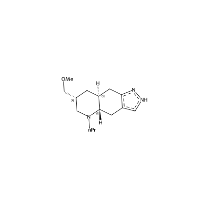 CCCN1C[C@H](COC)C[C@H]2Cc3n[nH]cc3C[C@@H]21